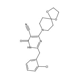 N#Cc1c(N2CCC3(CC2)OCCO3)nc(Cc2ccccc2Cl)[nH]c1=O